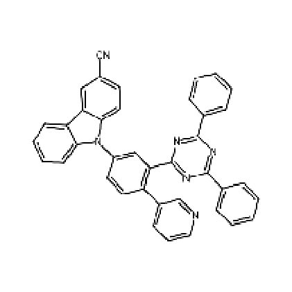 N#Cc1ccc2c(c1)c1ccccc1n2-c1ccc(-c2cccnc2)c(-c2nc(-c3ccccc3)nc(-c3ccccc3)n2)c1